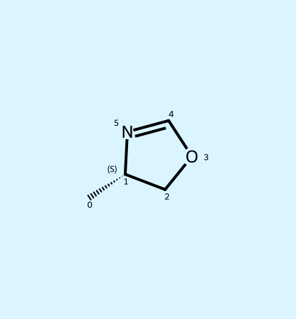 C[C@H]1COC=N1